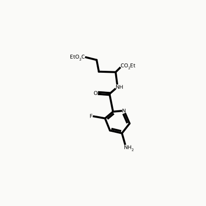 CCOC(=O)CCC(NC(=O)c1ncc(N)cc1F)C(=O)OCC